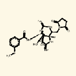 N=C1N[C@H]2[C@H](CN3C(=O)CCC3=O)NC(=N)N3C[C@H](NC(=O)c4cccc(SC(F)(F)F)c4)C(O)(O)[C@]23N1